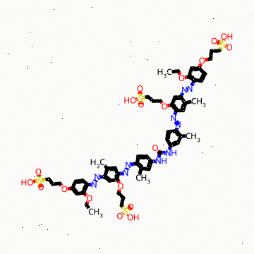 CCOc1cc(OCCCS(=O)(=O)O)ccc1N=Nc1cc(OCCCS(=O)(=O)O)c(N=Nc2ccc(NC(=O)Nc3ccc(/N=N/c4cc(C)c(N=Nc5ccc(OCCCS(=O)(=O)O)cc5OCC)cc4OCCCS(=O)(=O)O)c(C)c3)cc2C)cc1C